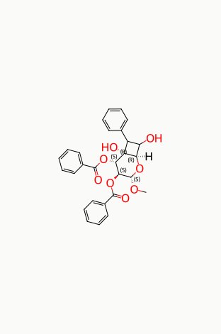 CO[C@H]1O[C@@H]2C(O)C(c3ccccc3)[C@]2(O)[C@@H](OC(=O)c2ccccc2)[C@@H]1OC(=O)c1ccccc1